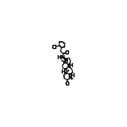 CN1C(=O)C=C[C@]2(C)[C@H]3CC[C@]4(C)[C@@H](NC(=O)Cc5ccccc5Cl)CC[C@H]4[C@@H]3CC[C@@H]12